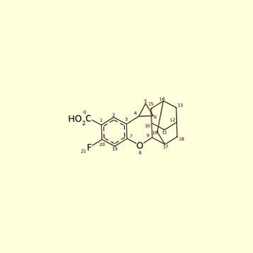 O=C(O)c1cc(C2CC2)c(OC2C3CC4CC(C3)CC2C4)cc1F